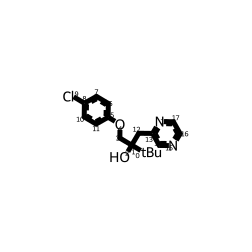 CC(C)(C)C(O)(COc1ccc(Cl)cc1)Cc1cnccn1